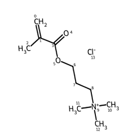 C=C(C)C(=O)OCCC[N+](C)(C)C.[Cl-]